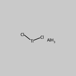 [AlH3].[Cl][Ti][Cl]